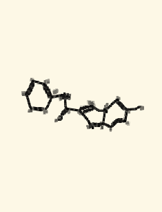 Cc1ccc2nc(C(=O)Nc3ccccc3)cn2c1